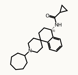 O=C(N[C@H]1CCC2(CCN(C3CCCCCC3)CC2)c2ccccc21)C1CC1